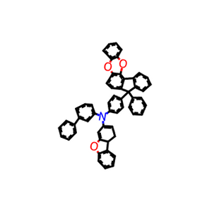 C1=C2Oc3ccccc3C2CC=C1N(c1ccc(C2(c3ccccc3)c3ccccc3-c3c2ccc2c3Oc3ccccc3O2)cc1)c1cccc(-c2ccccc2)c1